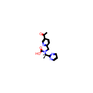 CC(=O)c1ccc(CN(C(=O)O)[C@H](C)c2ncccn2)nc1